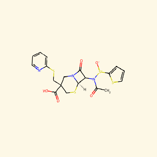 CC(=O)N(C1C(=O)N2CC(CSc3ccccn3)(C(=O)O)CS[C@H]12)[S+]([O-])c1cccs1